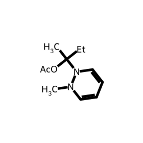 CCC(C)(OC(C)=O)N1C=CC=CN1C